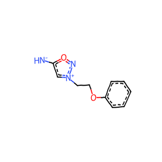 [NH-]c1c[n+](CCOc2ccccc2)no1